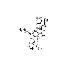 CCOc1ncccc1-c1ccc(N2CCN(C(=O)c3ccccc3C(F)(F)F)C[C@H]2CC)c(C(=O)NCCN)c1